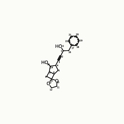 OC(C#CC1CC2C(CC23OCCO3)C1O)Cc1ccccc1